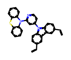 C=Cc1ccc2c(c1)c1cc(C=C)ccc1n2-c1ccnc(N2c3ccccc3Sc3ccccc32)c1